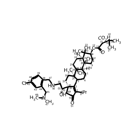 CC(C)C1=C2C3CC[C@@H]4[C@@]5(C)CC[C@H](OC(=O)CC(C)(C)C(=O)O)C(C)(C)[C@@H]5CC[C@@]4(C)[C@]3(C)CC[C@@]2([C@H](O)CNCc2ccc(Cl)cc2CN(C)C)CC1=O